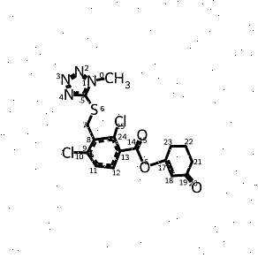 Cn1nnnc1SCc1c(Cl)ccc(C(=O)OC2=CC(=O)CCC2)c1Cl